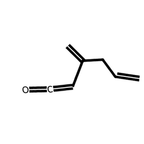 C=CCC(=C)C=C=O